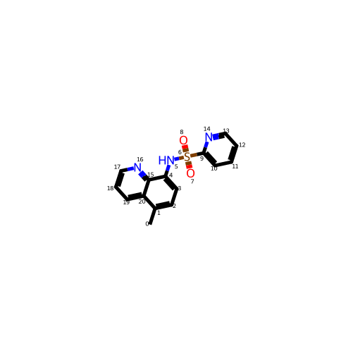 Cc1ccc(NS(=O)(=O)c2ccccn2)c2ncccc12